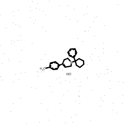 Cc1ccc(C2=CCN(C3(c4ccccc4)CCCCC3)CC2)cc1.Cl